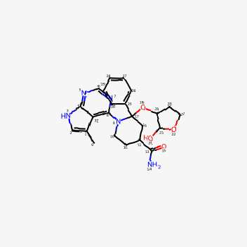 Cc1c[nH]c2ncnc(N3CCC(C(N)=O)CC3(OC3CCOC3O)c3ccccc3)c12